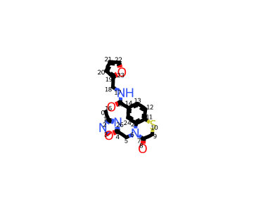 Cc1noc(CN2C(=O)CSc3ccc(C(=O)NCc4ccco4)cc32)n1